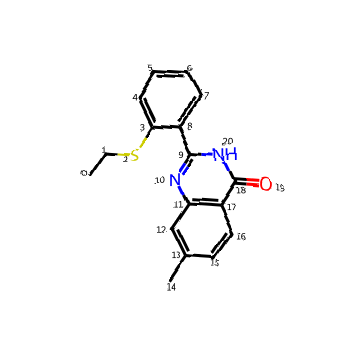 CCSc1ccccc1-c1nc2cc(C)ccc2c(=O)[nH]1